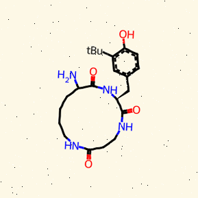 CC(C)(C)c1cc(C[C@@H]2NC(=O)C(N)CCCCNC(=O)CCNC2=O)ccc1O